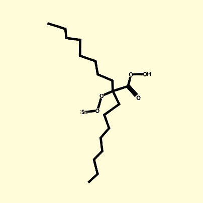 CCCCCCCCC(CCCCCCCC)(O[O][Sn])C(=O)OO